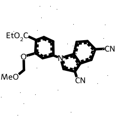 CCOC(=O)c1ccc(-n2cc(C#N)c3cc(C#N)ccc32)cc1OCOC